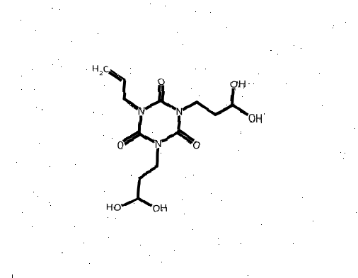 C=CCn1c(=O)n(CCC(O)O)c(=O)n(CCC(O)O)c1=O